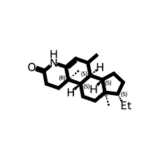 CC[C@H]1CC[C@H]2[C@@H]3C(C)C=C4NC(=O)CC[C@]4(C)[C@H]3CC[C@]12C